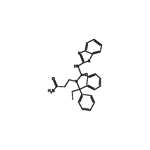 CCC(c1ccccc1)(c1ccccc1)N(CCC(N)=O)C(=O)Nc1nc2ccccc2s1